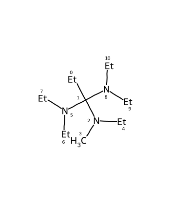 [CH2]CC(N(C)CC)(N(CC)CC)N(CC)CC